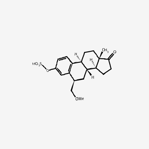 COC[C@@H]1C[C@@H]2[C@H](CC[C@]3(C)C(=O)CC[C@@H]23)c2ccc(OS(=O)(=O)O)cc21